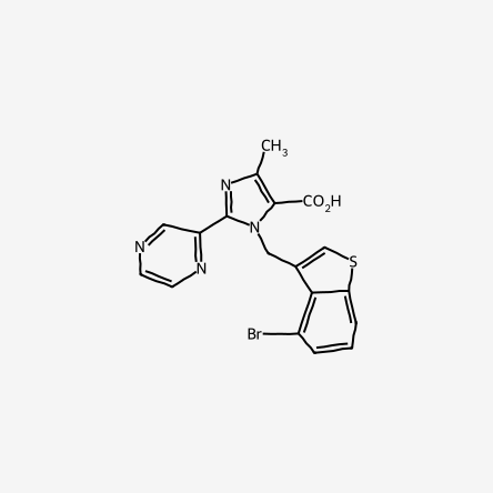 Cc1nc(-c2cnccn2)n(Cc2csc3cccc(Br)c23)c1C(=O)O